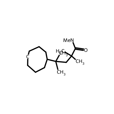 CNC(=O)C(C)(C)CC(C)(C)C1CCCCCCC1